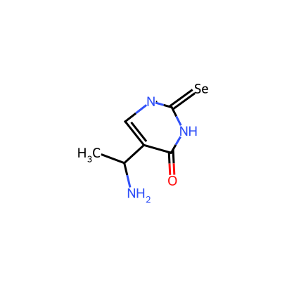 CC(N)C1=C[N]C(=[Se])NC1=O